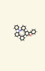 c1ccc(-n2c3ccccc3c3ccccc3c3cc4oc5ccccc5c4cc3c3ccccc32)cc1